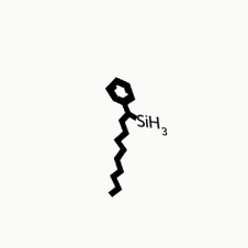 CCCCCCCCCC([SiH3])c1ccccc1